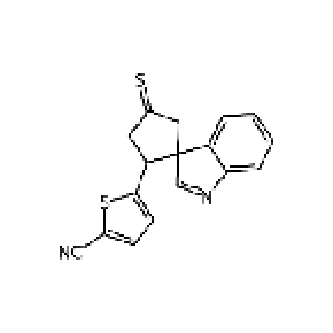 N#Cc1ccc(C2CC(=S)CC23C=Nc2ccccc23)s1